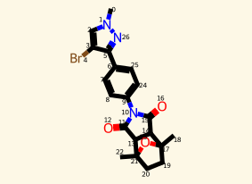 Cn1cc(Br)c(-c2ccc(N3C(=O)C4C(C3=O)C3(C)CCC4(C)O3)cc2)n1